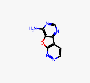 Nc1ncnc2c1oc1nnccc12